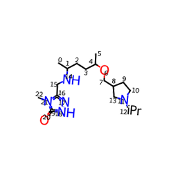 CC(CCC(C)OCC1CCN(C(C)C)C1)NCc1n[nH]c(=O)n1C